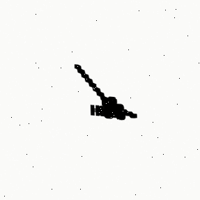 CCCCCCCCCCCCCCCCOC(=O)C(O)(CC(=O)O)CC(=O)OC(=O)CCCCC